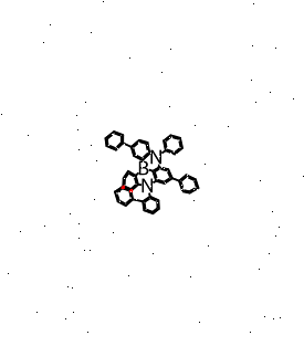 c1ccc(-c2ccc3c(c2)B2c4ccccc4N(c4ccccc4-c4ccccc4)c4cc(-c5ccccc5)cc(c42)N3c2ccccc2)cc1